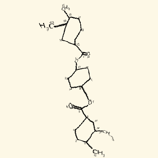 CC1CCC(C(=O)OC2CCC(OC(=O)C3CCC(C)C(C)C3)CC2)CC1C